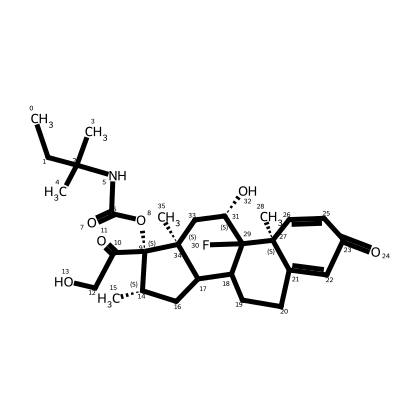 CCC(C)(C)NC(=O)O[C@@]1(C(=O)CO)[C@@H](C)CC2C3CCC4=CC(=O)C=C[C@]4(C)C3(F)[C@@H](O)C[C@@]21C